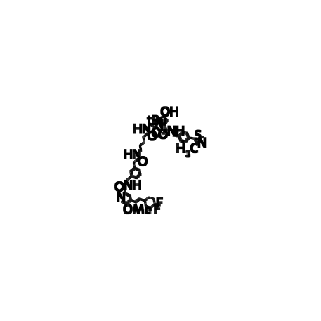 COc1cnc(C(=O)NCc2cccc(CC(=O)NCCCCC(=O)N[C@H](C(=O)N3C[C@H](O)C[C@H]3C(=O)NCc3ccc(-c4scnc4C)cc3)C(C)(C)C)c2)cc1/C=C/C1CCC(F)(F)CC1